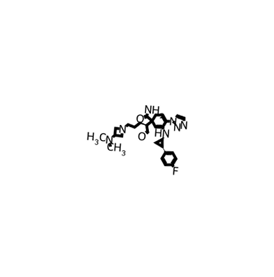 CN(C)C1CN(CCC[C@H](C=O)C2(C(N)=O)C=C(N[C@@H]3C[C@H]3c3ccc(F)cc3)C(n3ccnn3)=CC2)C1